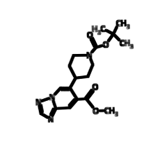 COC(=O)c1cc2ncnn2cc1C1CCN(C(=O)OC(C)(C)C)CC1